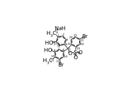 Cc1ccc(C2(c3cc(O)c(C)c(Br)c3)OS(=O)(=O)c3cc(Br)ccc32)cc1O.[NaH]